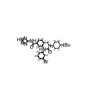 CC(C)(C)C1CCC(N(Cc2ccc(C(=O)Nc3nn[nH]n3)cc2)C(=O)Nc2cccc(Br)c2)CC1